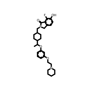 CC(Oc1cccc(OCCN2CCCCC2)c1)C1CCC(CN2Cc3ccc(O)c(F)c3C2=O)CC1